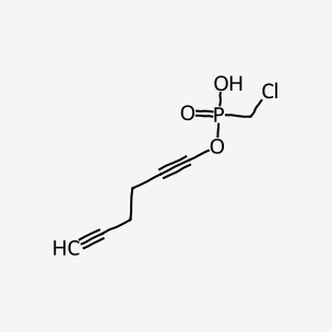 C#CCCC#COP(=O)(O)CCl